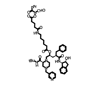 CCCC(=O)N(C=O)OC(=O)CCCC(=O)NCCCCCC(=O)O[C@@H](C[C@@H](Cc1ccccc1)C(=O)N[C@H]1c2ccccc2C[C@H]1O)CN1CCN(Cc2cccnc2)C[C@H]1C(=O)NC(C)(C)C